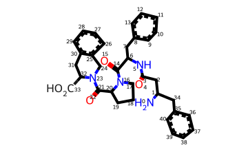 NC(CC(=O)NC(Cc1ccccc1)C(=O)N1CCCC1C(=O)N1Cc2ccccc2CC1C(=O)O)Cc1ccccc1